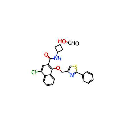 O=C(NC1CCC1)c1cc(Cl)c2ccccc2c1OCc1csc(-c2ccccc2)n1.O=CO